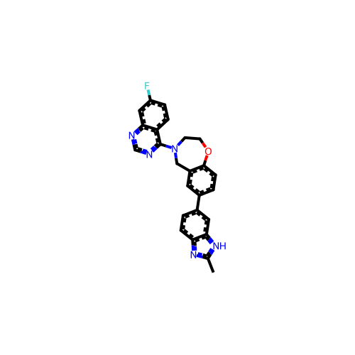 Cc1nc2ccc(-c3ccc4c(c3)CN(c3ncnc5cc(F)ccc35)CCO4)cc2[nH]1